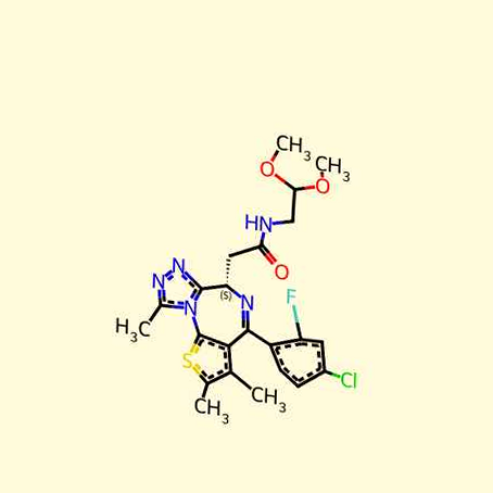 COC(CNC(=O)C[C@@H]1N=C(c2ccc(Cl)cc2F)c2c(sc(C)c2C)-n2c(C)nnc21)OC